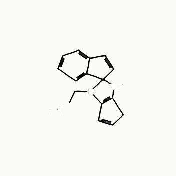 CCP1C2=[C](CC=C2)[Hf+2][C]12C=Cc1ccccc12.[Cl-].[Cl-]